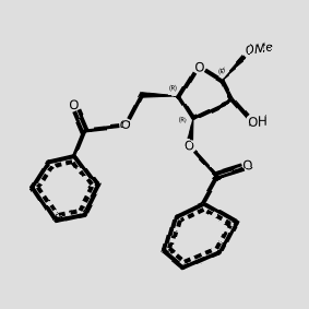 CO[C@@H]1O[C@H](COC(=O)c2ccccc2)[C@H](OC(=O)c2ccccc2)C1O